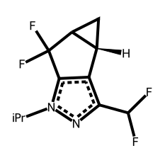 CC(C)n1nc(C(F)F)c2c1C(F)(F)C1C[C@H]21